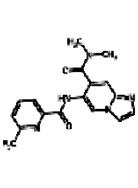 CN(C)C(=O)c1cc2nccn2cc1NC(=O)c1cccc(C(F)(F)F)n1